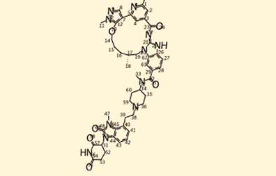 Cc1cc2cc(n1)-c1cnn(C)c1OCCC[C@@H](C)CN1/C(=N/C2=O)Nc2ccc(C(=O)N(C)C3CCN(CCc4cccc5c4n(C)c(=O)n5C4CCC(=O)NC4=O)CC3)cc21